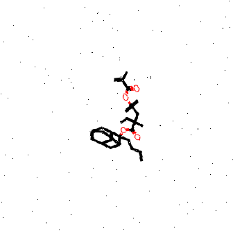 C=C(C)C(=O)OC(C)(C)CC(C)(CC)C(=O)OC1(CCCC)C2CC3CC(C2)CC1C3